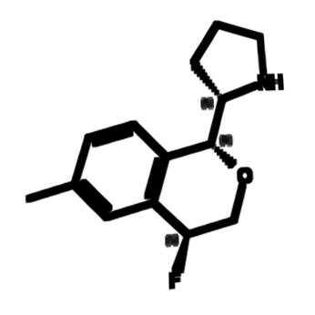 Cc1ccc2c(c1)[C@H](F)CO[C@H]2[C@@H]1CCCN1